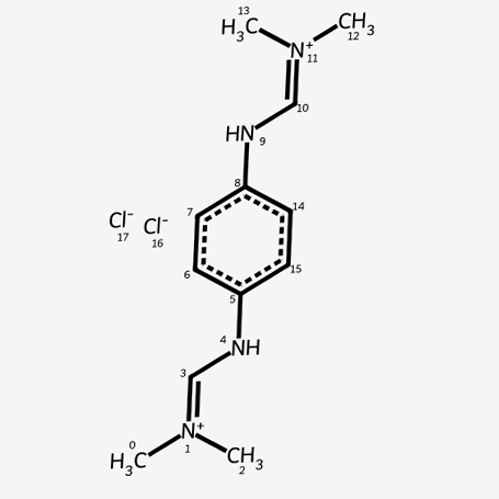 C[N+](C)=CNc1ccc(NC=[N+](C)C)cc1.[Cl-].[Cl-]